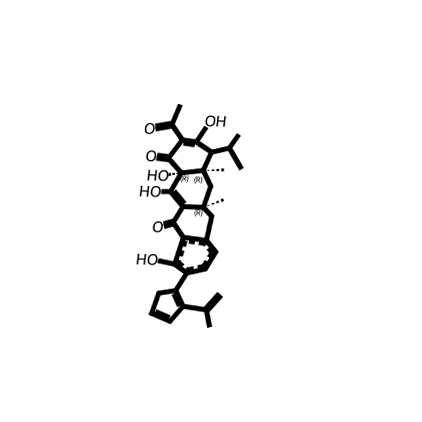 C=C(C)C1=C(c2ccc3c(c2O)C(=O)C2=C(O)[C@@]4(O)C(=O)C(C(C)=O)=C(O)C(C(C)C)[C@@]4(C)C[C@@]2(C)C3)CC=C1